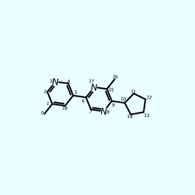 Cc1cncc(-c2cnc(C3CCCC3)c(C)n2)c1